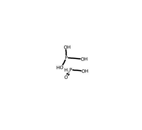 O=[PH2]O.OP(O)O